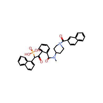 CN(C(=O)c1ccccc1C(=O)C(c1cccc2ccccc12)P(=O)(O)O)C1CCN(C(=O)c2ccc3ccccc3c2)CC1